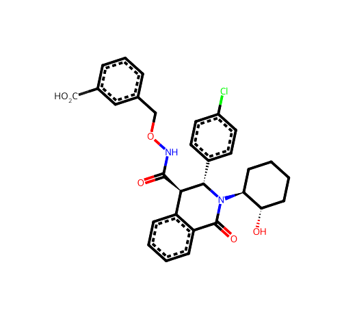 O=C(O)c1cccc(CONC(=O)[C@@H]2c3ccccc3C(=O)N([C@H]3CCCC[C@@H]3O)[C@H]2c2ccc(Cl)cc2)c1